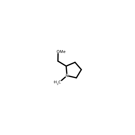 [CH2]N1CCCC1COC